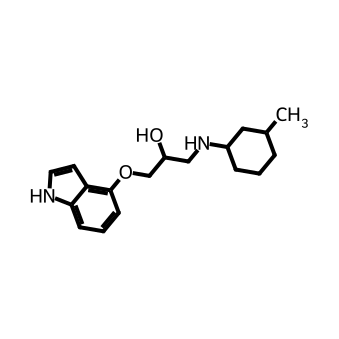 CC1CCCC(NCC(O)COc2cccc3[nH]ccc23)C1